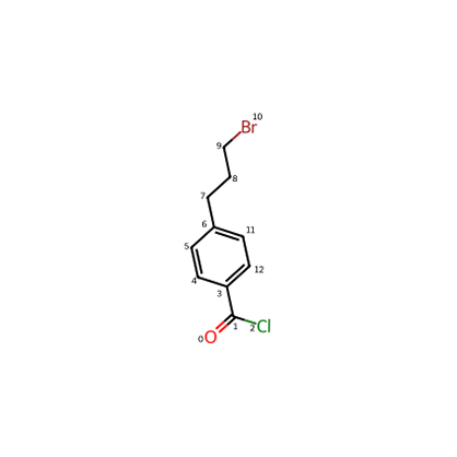 O=C(Cl)c1ccc(CCCBr)cc1